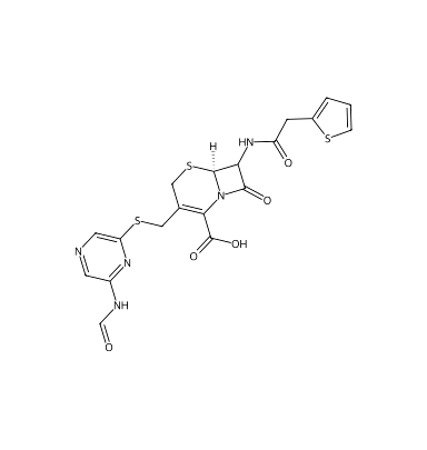 O=CNc1cncc(SCC2=C(C(=O)O)N3C(=O)C(NC(=O)Cc4cccs4)[C@@H]3SC2)n1